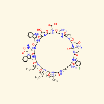 CCCC[C@H]1C(=O)N(C)[C@@H](CCCC)C(=O)N[C@@H](CC(C)C)C(=O)NCCC[C@H](N)C(=O)N[C@@H](Cc2ccc(F)cc2)C(=O)N2CCCC[C@@]23C(=O)N3[C@@H](CC(N)=O)C(=O)N2CCC[C@H]2C(=O)N[C@@H](CN)C(=O)N[C@@H](CCC(=O)O)C(=O)N2C[C@H](O)C[C@H]2C(=O)N[C@@H](Cc2c[nH]c3ccccc23)C(=O)N[C@@H](CCN)C(=O)N[C@@H](Cc2cn(CC(=O)O)c3ccccc23)C(=O)N1C